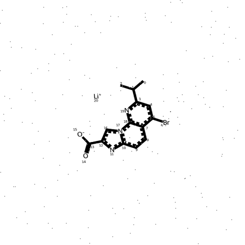 CC(C)c1cc(Br)c2ccc3nc(C(=O)[O-])cn3c2n1.[Li+]